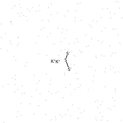 [K+].[K+].[S-]S[S-]